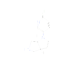 Clc1ccc(N2CC[C@H]3CNC[C@H]32)cn1